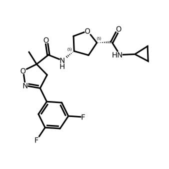 CC1(C(=O)N[C@@H]2CO[C@H](C(=O)NC3CC3)C2)CC(c2cc(F)cc(F)c2)=NO1